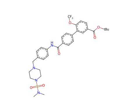 CN(C)S(=O)(=O)N1CCN(Cc2ccc(NC(=O)c3ccc(-c4cc(C(=O)OC(C)(C)C)ccc4OC(F)(F)F)cc3)cc2)CC1